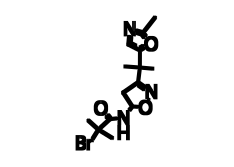 Cc1ncc(C(C)(C)C2=NOC(NC(=O)C(C)(C)Br)C2)o1